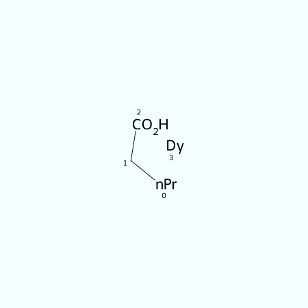 CCCCC(=O)O.[Dy]